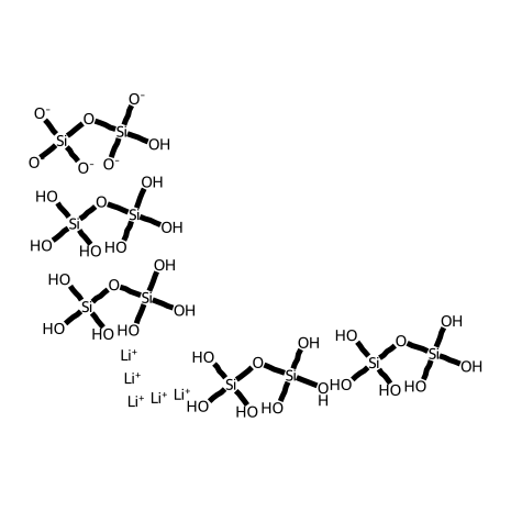 O[Si](O)(O)O[Si](O)(O)O.O[Si](O)(O)O[Si](O)(O)O.O[Si](O)(O)O[Si](O)(O)O.O[Si](O)(O)O[Si](O)(O)O.[Li+].[Li+].[Li+].[Li+].[Li+].[O-][Si]([O-])([O-])O[Si]([O-])([O-])O